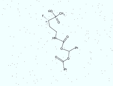 CC(C)C(=O)OC(OC(=O)NCC[C@H](F)P(C)(=O)O)C(C)C